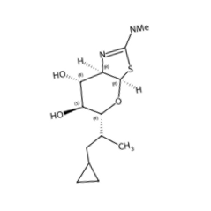 CNC1=N[C@@H]2[C@@H](O)[C@H](O)[C@@H](C(C)CC3CC3)O[C@@H]2S1